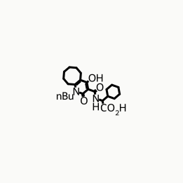 CCCCn1c2c(c(O)c(C(=O)NC(C(=O)O)C3CCCCC3)c1=O)CCCCCC2